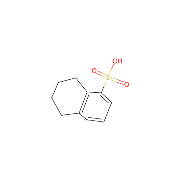 O=S(=O)(O)c1cc[c]c2c1CCCC2